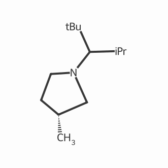 CC(C)C(N1CC[C@@H](C)C1)C(C)(C)C